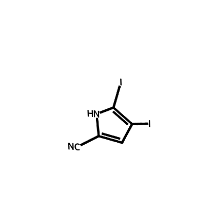 N#Cc1cc(I)c(I)[nH]1